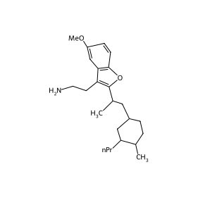 CCCC1CC(CC(C)c2oc3ccc(OC)cc3c2CCN)CCC1C